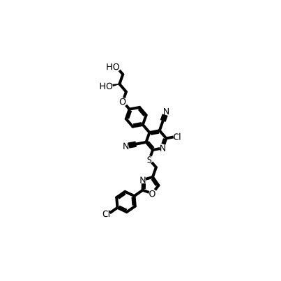 N#Cc1c(Cl)nc(SCc2coc(-c3ccc(Cl)cc3)n2)c(C#N)c1-c1ccc(OC[C@@H](O)CO)cc1